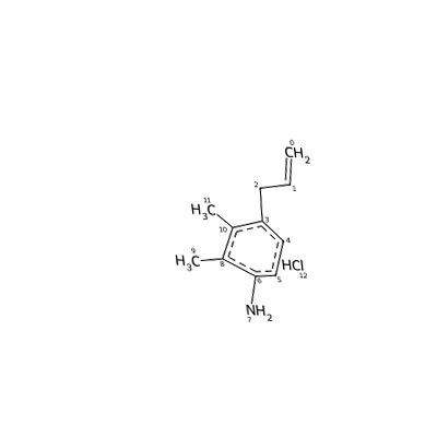 C=CCc1ccc(N)c(C)c1C.Cl